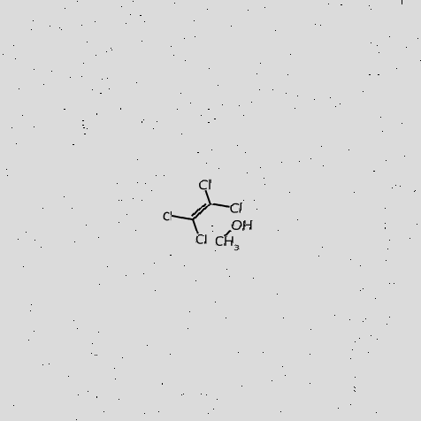 CO.ClC(Cl)=C(Cl)Cl